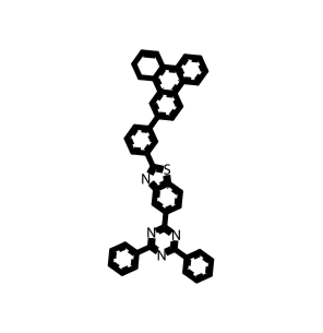 C1=Cc2c(c3cc(-c4cccc(-c5nc6cc(-c7nc(-c8ccccc8)nc(-c8ccccc8)n7)ccc6s5)c4)ccc3c3ccccc23)CC1